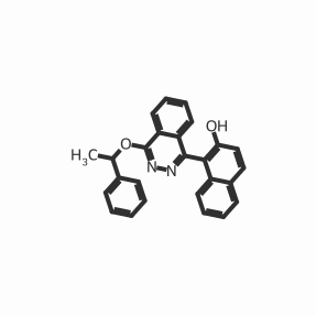 CC(Oc1nnc(-c2c(O)ccc3ccccc23)c2ccccc12)c1ccccc1